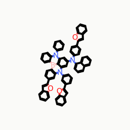 c1ccc(N2c3ccccc3B3c4ccc(-c5cc6ccccc6o5)cc4N(c4cccc(-c5cc6ccccc6o5)c4)c4cc(N(c5ccc(-c6cc7ccccc7o6)cc5)c5cccc6ccccc56)cc2c43)cc1